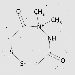 C[N+]1(C)NC(=O)CSSCC1=O